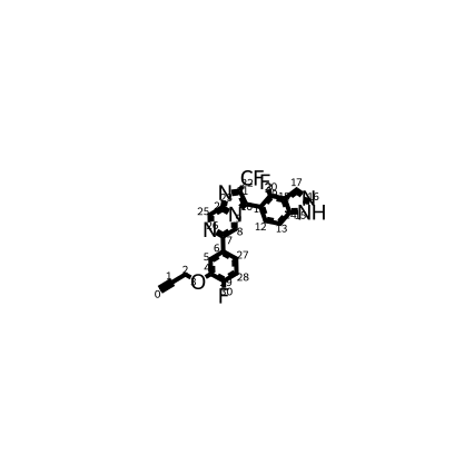 C#CCOc1cc(-c2cn3c(-c4ccc5[nH]ncc5c4F)c(C(F)(F)F)nc3cn2)ccc1F